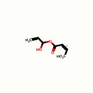 C=CC(O)OC(=O)/C=C\C(=O)O